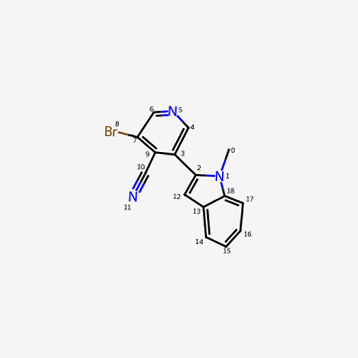 Cn1c(-c2cncc(Br)c2C#N)cc2ccccc21